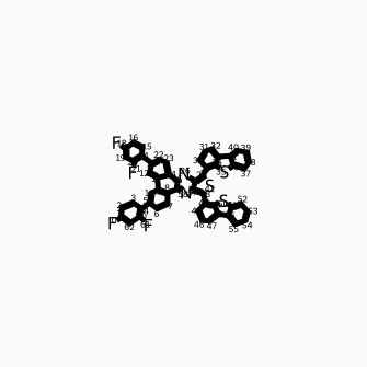 Fc1ccc(-c2ccc3c(c2)c2cc(-c4ccc(F)cc4F)ccc2c2nc4c(-c5cccc6c5sc5ccccc56)sc(-c5cccc6c5sc5ccccc56)c4nc32)c(F)c1